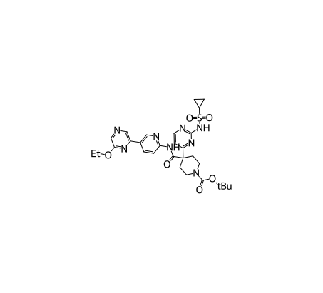 CCOc1cncc(-c2ccc(NC(=O)C3(c4ccnc(NS(=O)(=O)C5CC5)n4)CCN(C(=O)OC(C)(C)C)CC3)nc2)n1